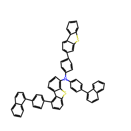 c1ccc2c(-c3ccc(-c4cccc5sc6c(N(c7ccc(-c8ccc9c(c8)sc8ccccc89)cc7)c7ccc(-c8cccc9ccccc89)cc7)cccc6c45)cc3)cccc2c1